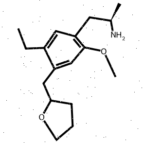 CCc1cc(C[C@@H](C)N)c(OC)cc1CC1CCCO1